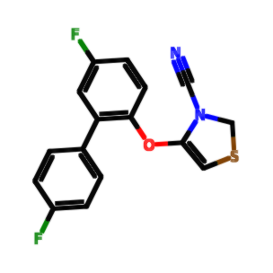 N#CN1CSC=C1Oc1ccc(F)cc1-c1ccc(F)cc1